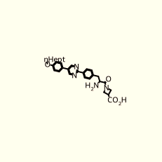 CCCCCCCOc1ccc(-c2cnc(-c3ccc(CC(N)C(=O)N4CC(C(=O)O)C4)cc3)nc2)cc1